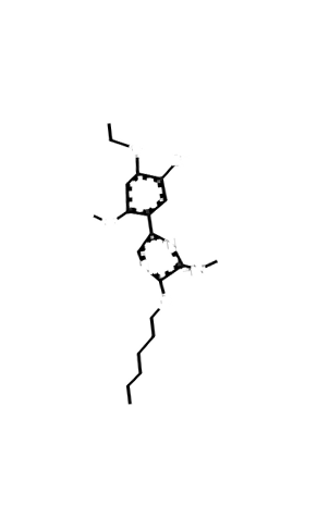 CCCCCCOc1ncc(-c2cc(Br)c(OCC)cc2OC)nc1NC